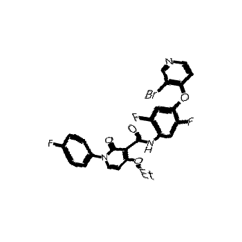 CCOc1ccn(-c2ccc(F)cc2)c(=O)c1C(=O)Nc1cc(F)c(Oc2ccncc2Br)cc1F